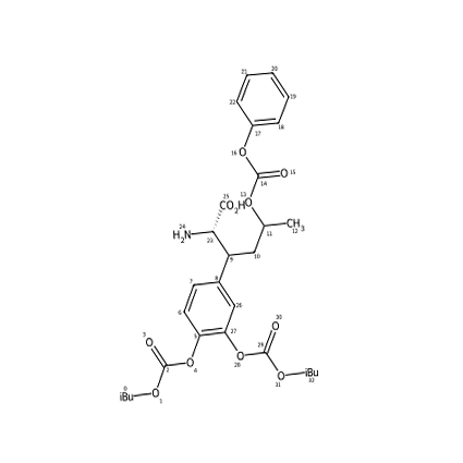 CCC(C)OC(=O)Oc1ccc(C(CC(C)OC(=O)Oc2ccccc2)[C@H](N)C(=O)O)cc1OC(=O)OC(C)CC